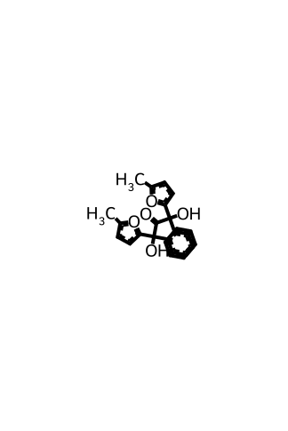 Cc1ccc(C(O)(C(=O)C(O)(c2ccccc2)c2ccc(C)o2)c2ccccc2)o1